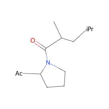 CC(=O)C1CCCN1C(=O)C(C)CC(C)C